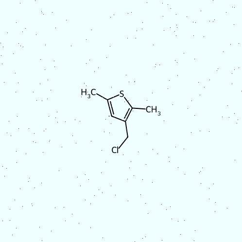 Cc1[c]c(CCl)c(C)s1